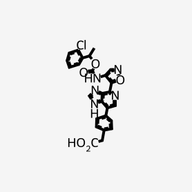 CC(OC(=O)Nc1cnoc1-c1ncc(-c2ccc(CC(=O)O)cc2)c2[nH]cnc12)c1ccccc1Cl